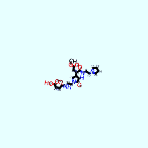 COC(=O)/C=C(\C(=O)NCCN1CCCC1)C1CC(=O)N(CCNC(=O)/C=C\C(=O)O)C1